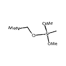 CNCO[Si](C)(OC)OC